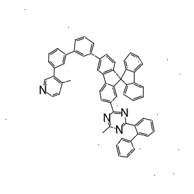 Cc1nc(-c2ccc3c(c2)C2(c4ccccc4-c4ccccc42)c2ccc(-c4cccc(-c5cccc(-c6cnccc6C)c5)c4)cc2-3)nc(-c2ccccc2-c2ccccc2)n1